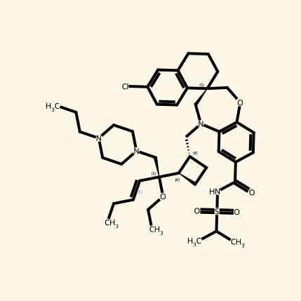 CC/C=C/[C@@](CN1CCN(CCC)CC1)(OCC)[C@@H]1CC[C@H]1CN1C[C@@]2(CCCc3cc(Cl)ccc32)COc2ccc(C(=O)NS(=O)(=O)C(C)C)cc21